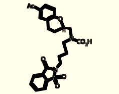 CC(=O)c1ccc2c(c1)CC[C@H](CN(CCCCN1C(=O)c3ccccc3S1(=O)=O)C(=O)O)O2